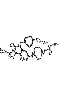 COc1ccc(Cn2c(=O)n3c(C(C)(C)C)nnc3c3ncc(N4CCN(C(=O)OC(C)(C)C)CC4)cc32)cc1